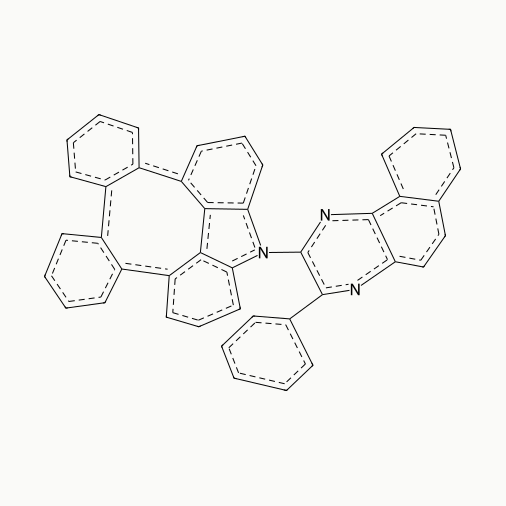 c1ccc(-c2nc3ccc4ccccc4c3nc2-n2c3cccc4c5ccccc5c5ccccc5c5cccc2c5c43)cc1